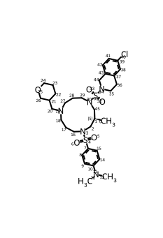 C[C@H]1CN(S(=O)(=O)c2ccc(N(C)C)cc2)CCCN(CC2CCCOC2)CCCN(S(=O)(=O)N2CCc3cc(Cl)ccc3C2)C1